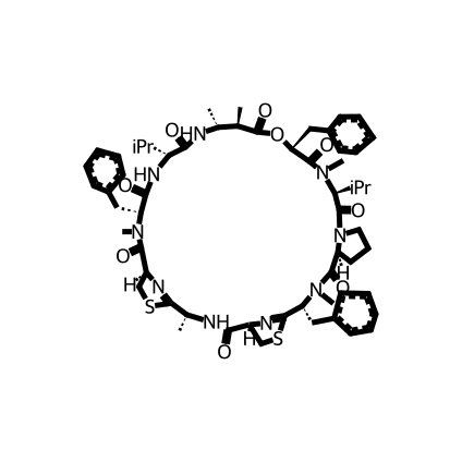 CC(C)[C@H]1C(=O)N2CCC[C@H]2C(=O)N(C)[C@H](Cc2ccccc2)C2=N[C@@H](CS2)C(=O)N[C@H](C)C2=N[C@@H](CS2)C(=O)N(C)[C@H](Cc2ccccc2)C(=O)N[C@H](C(C)C)C(=O)N[C@H](C)[C@@H](C)C(=O)O[C@@H](Cc2ccccc2)C(=O)N1C